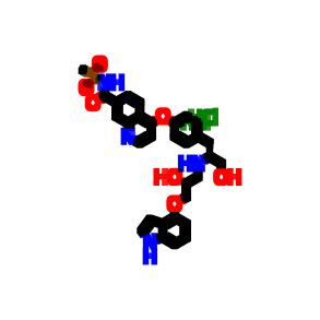 CS(=O)(=O)NC(=O)c1ccc2c(Oc3ccc(C[C@@H](CO)NC[C@H](O)COc4cccc5[nH]ccc45)cc3)ccnc2c1.Cl.Cl